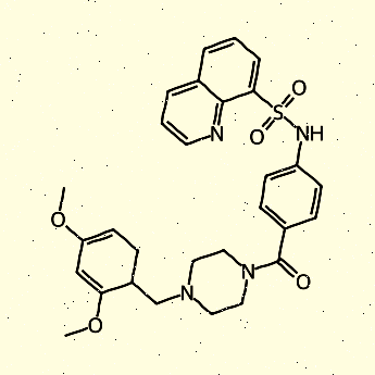 COC1=CCC(CN2CCN(C(=O)c3ccc(NS(=O)(=O)c4cccc5cccnc45)cc3)CC2)C(OC)=C1